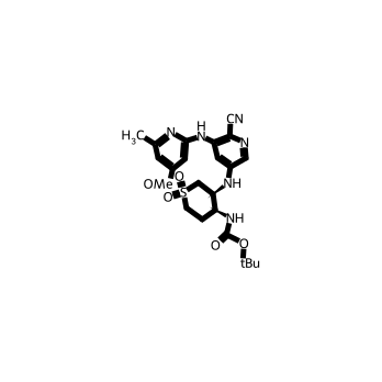 COc1cc(C)nc(Nc2cc(N[C@@H]3CS(=O)(=O)CC[C@@H]3NC(=O)OC(C)(C)C)cnc2C#N)c1